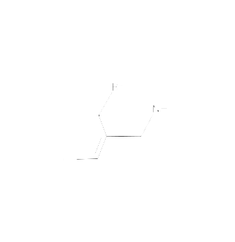 NC/C(=C/F)CBr